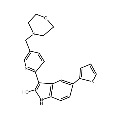 Oc1[nH]c2ccc(-c3cccs3)cc2c1-c1ccc(CN2CCOCC2)cn1